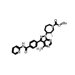 C[C@H]1CN(C(=O)OC(C)(C)C)CCCC1n1nc(-c2ccc(C(=O)Nc3ccccn3)cc2)c2c(N)ncnc21